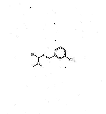 CCC(N=Cc1cccc(C(F)(F)F)c1)N(C)C